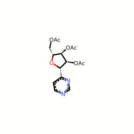 CC(=O)OC[C@H]1O[C@@H](c2ccncn2)[C@H](OC(C)=O)[C@@H]1OC(C)=O